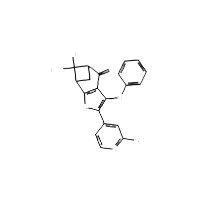 CC1(C)C2CC1c1[nH]c(-c3ccnc(N)c3)c(Nc3ccccc3)c1C2=O